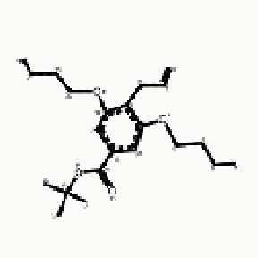 C=CCc1c(OCCCC)cc(C(=O)OC(C)(C)C)cc1OCCCC